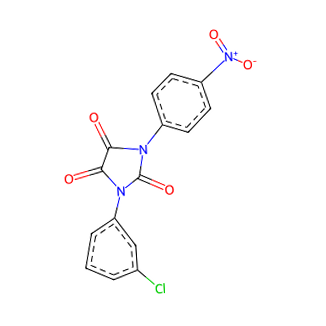 O=C1C(=O)N(c2cccc(Cl)c2)C(=O)N1c1ccc([N+](=O)[O-])cc1